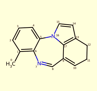 Cc1cccc2c1N=CC1=CCCc3ccn-2c31